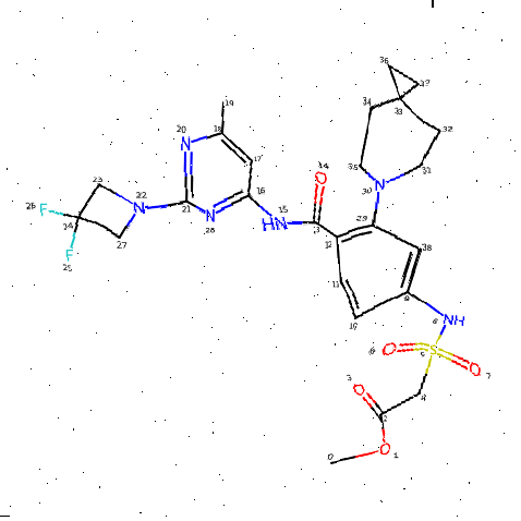 COC(=O)CS(=O)(=O)Nc1ccc(C(=O)Nc2cc(C)nc(N3CC(F)(F)C3)n2)c(N2CCC3(CC2)CC3)c1